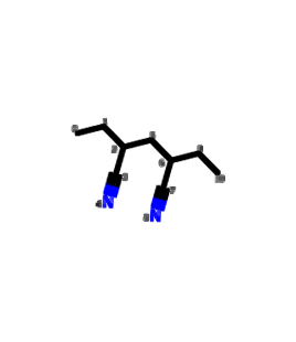 CCC(C#N)CC(C#N)CC